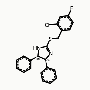 Fc1ccc(CSC2=N[C@@H](c3ccccc3)[C@@H](c3ccccc3)N2)c(Cl)c1